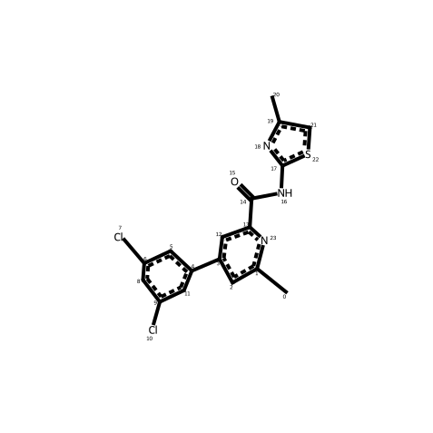 Cc1cc(-c2cc(Cl)cc(Cl)c2)cc(C(=O)Nc2nc(C)cs2)n1